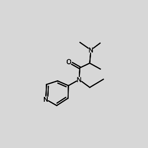 CCN(C(=O)C(C)N(C)C)c1ccncc1